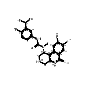 CN(C(=O)Nc1ccc(F)c(C(F)F)c1)[C@H]1CNCc2[nH]c(=O)c3cc(F)c(F)cc3c21